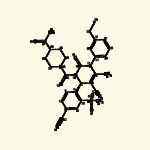 CC1=C(C#N)[C@@H](c2ccc(C#N)cc2S(C)(=O)=O)N(C(=O)N2CCC(C(=O)O)CC2)C(=O)N1c1cccc(CF)c1